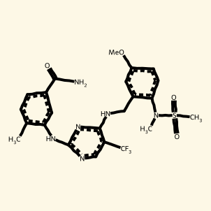 COc1ccc(N(C)S(C)(=O)=O)c(CNc2nc(Nc3cc(C(N)=O)ccc3C)ncc2C(F)(F)F)c1